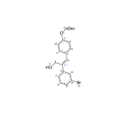 CCCCCCCCCCOc1ccc(/C=C(\CO)c2cccc(Br)c2)cc1